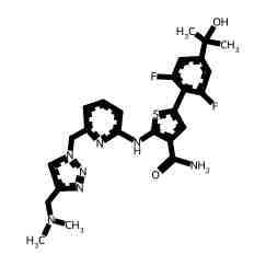 CN(C)Cc1cn(Cc2cccc(Nc3sc(-c4c(F)cc(C(C)(C)O)cc4F)cc3C(N)=O)n2)nn1